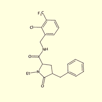 CCN1C(=O)C(Cc2ccccc2)CC1C(=O)NCc1cccc(C(F)(F)F)c1Cl